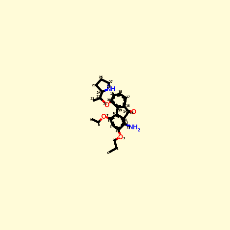 CCCOc1cc(OCC)c2c(c1N)C(=O)c1cccc(OC(C)C3CCCN3)c1-2